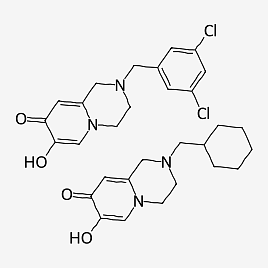 O=c1cc2n(cc1O)CCN(CC1CCCCC1)C2.O=c1cc2n(cc1O)CCN(Cc1cc(Cl)cc(Cl)c1)C2